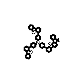 CC1(C)c2ccccc2-c2c1ccc1c2sc2c(-c3ccc(N(c4ccc(-c5cccc6c5oc5ccccc56)cc4)c4ccc(-c5cccc6c5oc5ccccc56)cc4)cc3)cccc21